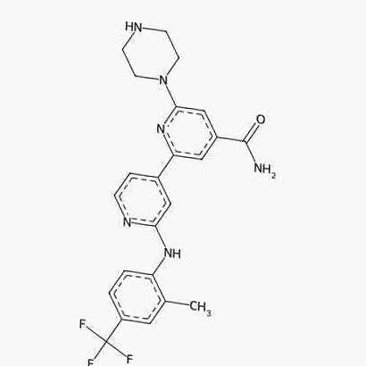 Cc1cc(C(F)(F)F)ccc1Nc1cc(-c2cc(C(N)=O)cc(N3CCNCC3)n2)ccn1